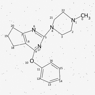 CN1CCN(c2nc3c(c(Oc4ccccc4)n2)CCC3)CC1